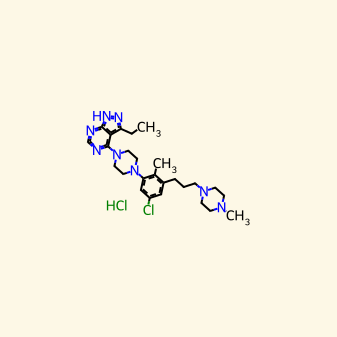 CCc1n[nH]c2ncnc(N3CCN(c4cc(Cl)cc(CCCN5CCN(C)CC5)c4C)CC3)c12.Cl